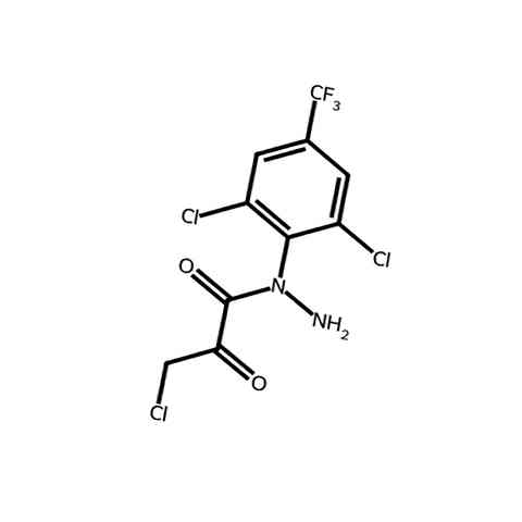 NN(C(=O)C(=O)CCl)c1c(Cl)cc(C(F)(F)F)cc1Cl